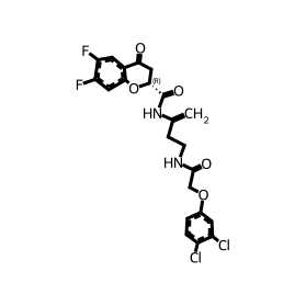 C=C(CCNC(=O)COc1ccc(Cl)c(Cl)c1)NC(=O)[C@H]1CC(=O)c2cc(F)c(F)cc2O1